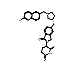 CC(C)(C)c1ccc2cc(CN3CC[C@H](Oc4ccc5c(c4)CN(C4CCC(=O)NC4=O)C5=O)C3)ccc2n1